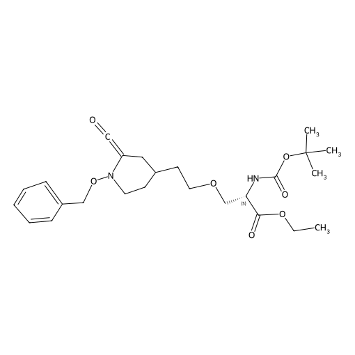 CCOC(=O)[C@H](COCCC1CCN(OCc2ccccc2)C(=C=O)C1)NC(=O)OC(C)(C)C